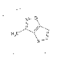 Cc1noc2ccsc12